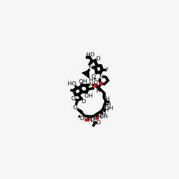 C=C(O)c1cn(C2CC2)c2c(OC)c(N3CCCC(N/N=C/c4c5c(O)c6c(O)c(C)c7c(c6c4O)C(=O)[C@@](C)(O/C=C/[C@H](OC)[C@@H](C)[C@@H](OC(C)=O)[C@H](C)[C@H](O)[C@H](C)[C@@H](O)[C@@H](C)/C=C/C=C(/C)C(=O)N5)O7)C3)c(F)cc2c1=O